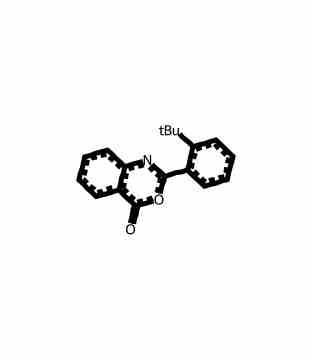 CC(C)(C)c1ccccc1-c1nc2ccccc2c(=O)o1